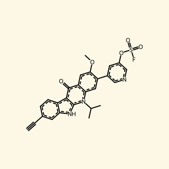 C#Cc1ccc2c(c1)[nH]c1c2c(=O)c2cc(OC)c(-c3cncc(OS(=O)(=O)F)c3)cc2n1C(C)C